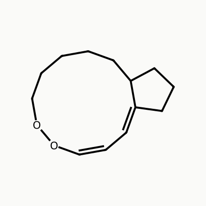 C1=COOCCCCCC2CCCC2=C1